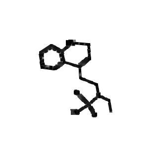 CCN(CCC1=CCNc2ccccc21)S(=O)(=O)O